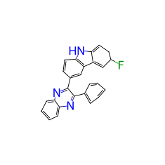 FC1C=c2c([nH]c3ccc(-c4nc5ccccc5nc4-c4ccccc4)cc23)=CC1